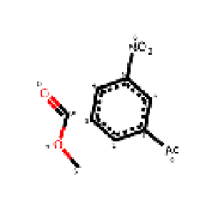 CC(=O)c1cccc([N+](=O)[O-])c1.COC=O